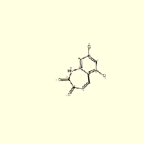 O=c1ccc2c(Cl)cc(Cl)cc2[nH]c1=O